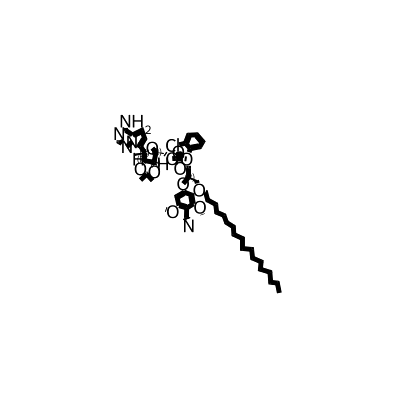 CCCCCCCCCCCCCCCCCCOC[C@H](COP(=O)(OC[C@H]1O[C@@](C)(c2ccc3c(N)ncnn23)[C@@H]2OC(C)(C)O[C@@H]21)Oc1ccccc1Cl)Oc1cc(OC)c(C#N)c(OC)c1